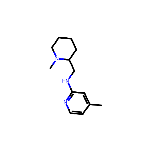 Cc1ccnc(NCC2CCCCN2C)c1